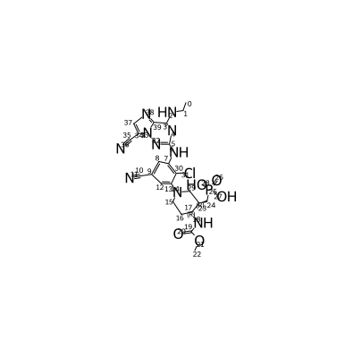 CCNc1nc(Nc2cc(C#N)cc(N3CC[C@@H](NC(=O)OC)[C@H](CP(=O)(O)O)C3)c2Cl)nn2c(C#N)cnc12